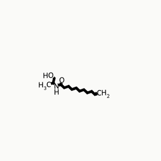 C=CCCCCCCCCC(=O)NC(C)CO